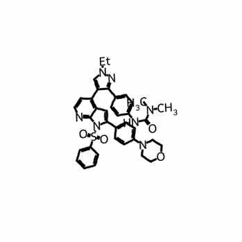 CCn1cc(-c2ccnc3c2cc(-c2ccc(N4CCOCC4)cc2)n3S(=O)(=O)c2ccccc2)c(-c2ccc(NC(=O)N(C)C)cc2)n1